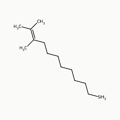 CC(C)=C(C)CCCCCCCC[SiH3]